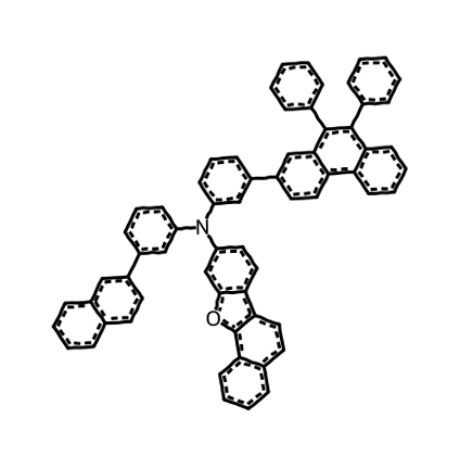 c1ccc(-c2c(-c3ccccc3)c3cc(-c4cccc(N(c5cccc(-c6ccc7ccccc7c6)c5)c5ccc6c(c5)oc5c7ccccc7ccc65)c4)ccc3c3ccccc23)cc1